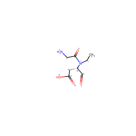 CCN(C(=O)CN)[C@H]([C]=O)CC(=O)O